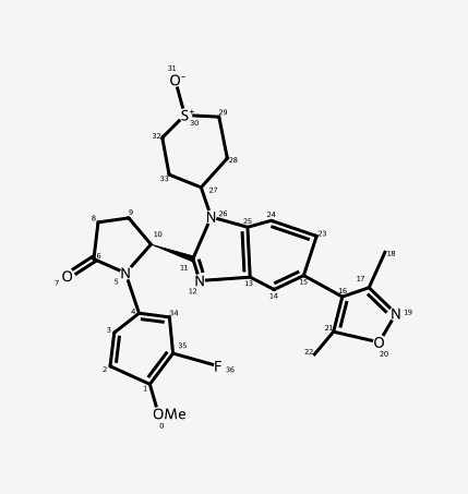 COc1ccc(N2C(=O)CC[C@H]2c2nc3cc(-c4c(C)noc4C)ccc3n2C2CC[S+]([O-])CC2)cc1F